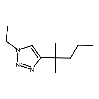 CCCC(C)(C)c1cn(CC)nn1